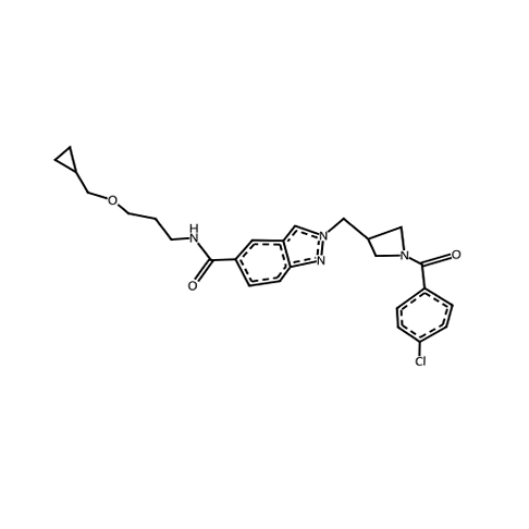 O=C(NCCCOCC1CC1)c1ccc2nn(CC3CN(C(=O)c4ccc(Cl)cc4)C3)cc2c1